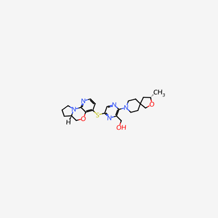 C[C@H]1CC2(CCN(c3ncc(Sc4ccnc5c4OC[C@@H]4CCCN54)nc3CO)CC2)CO1